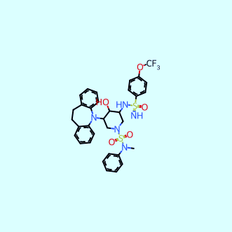 CN(c1ccccc1)S(=O)(=O)N1CC(NS(=N)(=O)c2ccc(OC(F)(F)F)cc2)C(O)C(N2c3ccccc3CCc3ccccc32)C1